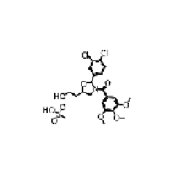 COc1cc(C(=O)N2C[C@@H](CCO)OC2c2ccc(Cl)c(Cl)c2)cc(OC)c1OC.CS(=O)(=O)O